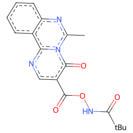 Cc1nc2ccccc2c2ncc(C(=O)ONC(=O)C(C)(C)C)c(=O)n12